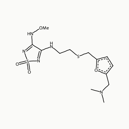 CONC1=NS(=O)(=O)N=C1NCCSCc1ccc(CN(C)C)o1